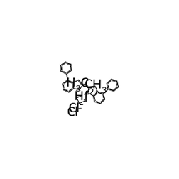 CC1=Cc2c(-c3ccccc3)cccc2[CH]1[Hf+2]1([CH]2C(C)=Cc3c(-c4ccccc4)cccc32)[CH2]C[CH2]1.[Cl-].[Cl-]